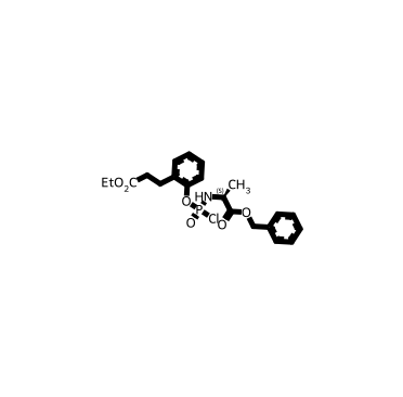 CCOC(=O)CCc1ccccc1OP(=O)(Cl)N[C@@H](C)C(=O)OCc1ccccc1